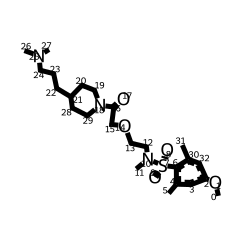 COc1cc(C)c(S(=O)(=O)N(C)CCOCC(=O)N2CCC(CCCN(C)C)CC2)c(C)c1